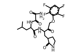 CC(C)CC(NC(=O)C(N)=O)C(=O)NC(CC1CCNC1=O)C(=O)COc1c(F)c(F)cc(F)c1F